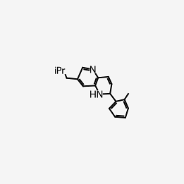 Cc1ccccc1C1C=Cc2ncc(CC(C)C)cc2N1